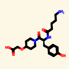 NCCCCC(=O)N[C@@H](Cc1ccc(O)cc1)C(=O)N1CCC(OCC(=O)O)CC1